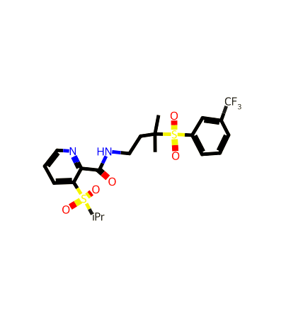 CC(C)S(=O)(=O)c1cccnc1C(=O)NCCC(C)(C)S(=O)(=O)c1cccc(C(F)(F)F)c1